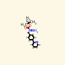 CC(C)(C)OC(=O)N(N)Cc1ccc(-c2ccccn2)cc1